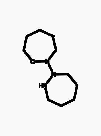 [CH]1CCCON(N2CCCCCN2)C1